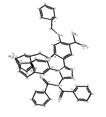 CC(C)c1cc(-c2nnc(N(C(=O)c3ccccc3)C(=O)c3ccccc3)n2-c2ccc3c(ccn3C)c2)c(OCc2ccccc2)cc1OCc1ccccc1